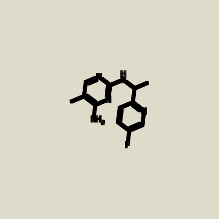 Cc1cnc(NC(C)c2ccc(F)cn2)nc1N